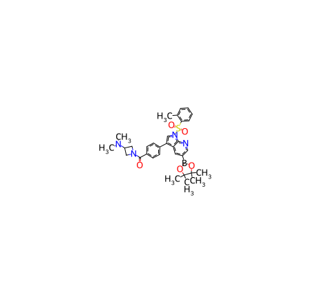 Cc1ccccc1S(=O)(=O)n1cc(-c2ccc(C(=O)N3CC(N(C)C)C3)cc2)c2cc(B3OC(C)(C)C(C)(C)O3)cnc21